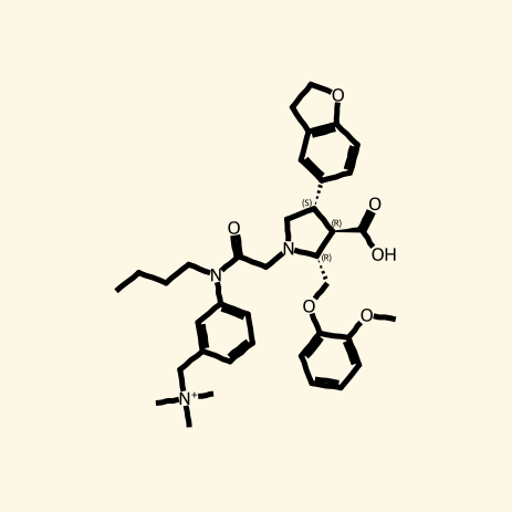 CCCCN(C(=O)CN1C[C@H](c2ccc3c(c2)CCO3)[C@@H](C(=O)O)[C@@H]1COc1ccccc1OC)c1cccc(C[N+](C)(C)C)c1